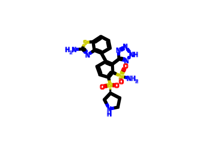 Nc1nc2c(-c3ccc(S(=O)(=O)[C@@H]4CCNC4)c(S(N)(=O)=O)c3-c3nn[nH]n3)cccc2s1